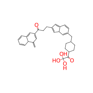 C=C1C=C(C(=O)CCC2=CC3C=C(CC4CCC(C(=O)C(O)(O)O)CC4)C=CC3=C2)C=C2C=CC=CC12